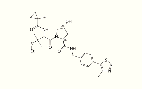 CCSC(C)(C)C(NC(=O)C1(F)CC1)C(=O)N1C[C@H](O)C[C@H]1C(=O)NCc1ccc(-c2scnc2C)cc1